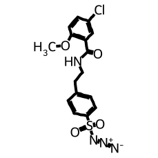 COc1ccc(Cl)cc1C(=O)NCCc1ccc(S(=O)(=O)N=[N+]=[N-])cc1